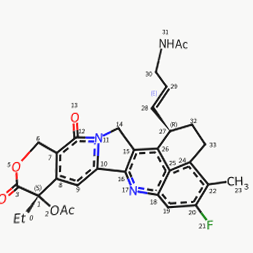 CC[C@@]1(OC(C)=O)C(=O)OCc2c1cc1n(c2=O)Cc2c-1nc1cc(F)c(C)c3c1c2[C@@H](/C=C/CNC(C)=O)CC3